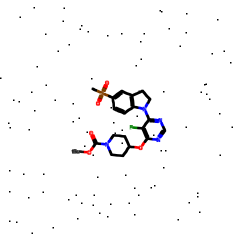 CC(C)(C)OC(=O)N1CCC(Oc2ncnc(N3CCc4cc(S(C)(=O)=O)ccc43)c2F)CC1